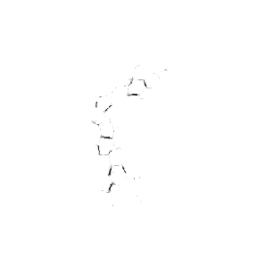 C=C/C(=C\C(OC)=C(C)C)c1ccc2c(n1)CN(c1cnn(Cc3cccc(OCC)c3OC)c1)C2=O